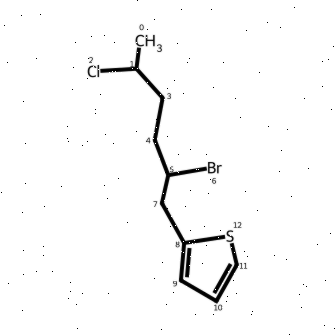 CC(Cl)CCC(Br)Cc1cccs1